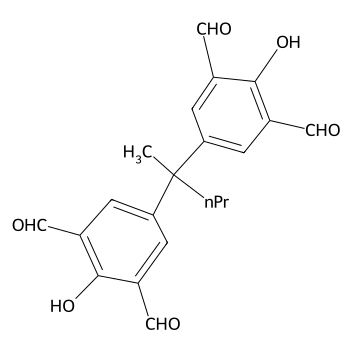 CCCC(C)(c1cc(C=O)c(O)c(C=O)c1)c1cc(C=O)c(O)c(C=O)c1